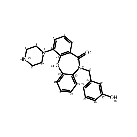 O=C1c2cccc(N3CCNCC3)c2Oc2ccccc2N1Cc1cccc(O)c1